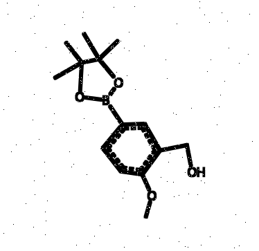 COc1ccc(B2OC(C)(C)C(C)(C)O2)cc1CO